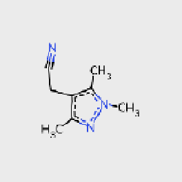 Cc1nn(C)c(C)c1CC#N